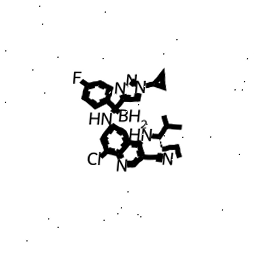 BC(Nc1cc(Cl)c2ncc(C#N)c(N[C@@H](CCC)C(C)C)c2c1)(c1ccc(F)cc1)c1cn(C2CC2)nn1